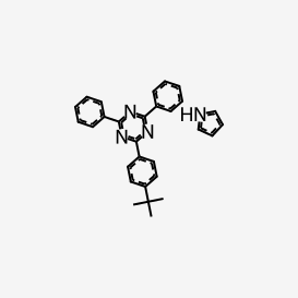 CC(C)(C)c1ccc(-c2nc(-c3ccccc3)nc(-c3ccccc3)n2)cc1.c1cc[nH]c1